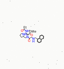 CCC(=O)NC[C@@H](C(=O)OC)N(CC1CCCN1)C(=O)CNCc1cccc2ccccc12